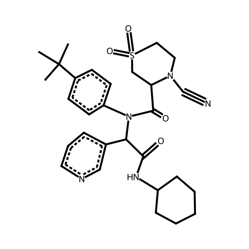 CC(C)(C)c1ccc(N(C(=O)C2CS(=O)(=O)CCN2C#N)C(C(=O)NC2CCCCC2)c2cccnc2)cc1